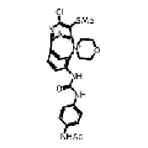 CSc1c(Cl)nc2nc1[N+]1(CCOCC1)c1cc-2ccc1NC(=O)Nc1ccc(NC(C)=O)cc1